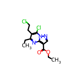 CCOC(=O)c1cnn2c(Cl)c(CCCl)c(CC)nc12